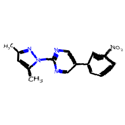 Cc1cc(C)n(-c2ncc(-c3cccc([N+](=O)[O-])c3)cn2)n1